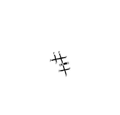 O=S(=O)(C(F)(F)F)C(F)(F)C(F)(F)F